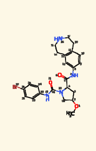 COC1CC(C(=O)Nc2ccc3c(c2)CCNCC3)N(C(=O)Nc2ccc(Br)cc2)C1